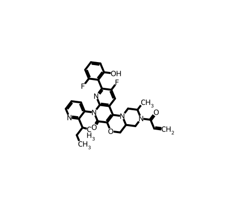 C=CC(=O)N1CC2COc3c(c4cc(F)c(-c5c(O)cccc5F)nc4n(-c4cccnc4C(C)CC)c3=O)N2CC1C